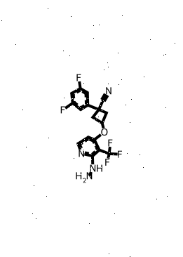 N#CC1(c2cc(F)cc(F)c2)CC(Oc2ccnc(NN)c2C(F)(F)F)C1